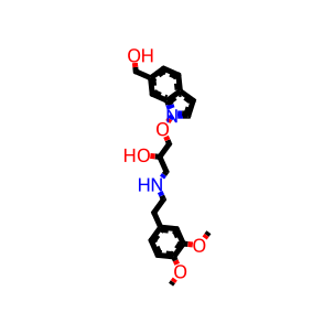 COc1ccc(CCNCC(O)COn2ccc3ccc(CO)cc32)cc1OC